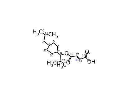 CC(C)CC1CCC(C(OC(=O)/C=C/C(=O)O)C(C)C)CC1